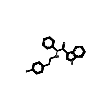 O=C(c1c[nH]c2ccccc12)[C@H](NCCc1ccc(F)cc1)c1ccccc1